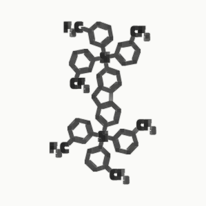 FC(F)(F)c1cccc([Si](c2cccc(C(F)(F)F)c2)(c2cccc(C(F)(F)F)c2)c2ccc3c(c2)Cc2cc([Si](c4cccc(C(F)(F)F)c4)(c4cccc(C(F)(F)F)c4)c4cccc(C(F)(F)F)c4)ccc2-3)c1